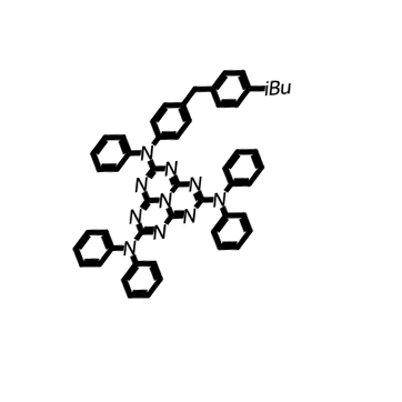 CCC(C)c1ccc(Cc2ccc(N(C3=NC4=NC(N(c5ccccc5)c5ccccc5)=NC5=NC(N(c6ccccc6)c6ccccc6)=NC(=N3)N54)c3ccccc3)cc2)cc1